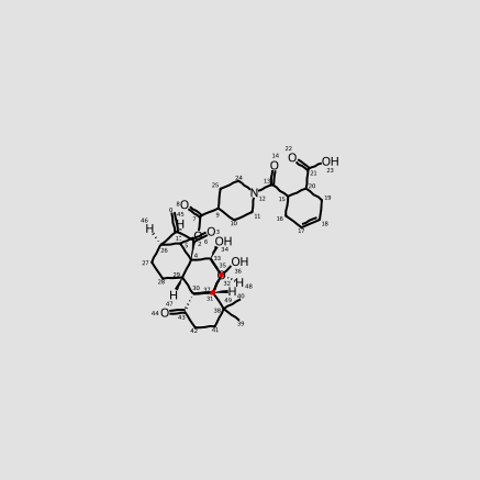 C=C1C(=O)[C@]23[C@H](OC(=O)C4CCN(C(=O)C5CC=CCC5C(=O)O)CC4)[C@H]1CC[C@H]2[C@@]12CO[C@]3(O)[C@@H](O)[C@@H]1C(C)(C)CCC2=O